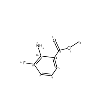 COC(=O)c1cccc(F)c1N